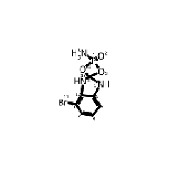 NP1(=O)OC2(Nc3cccc(Br)c3N2)O1